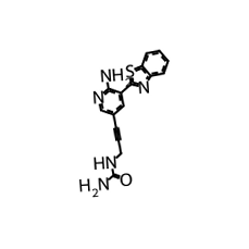 NC(=O)NCC#Cc1cnc(N)c(-c2nc3ccccc3s2)c1